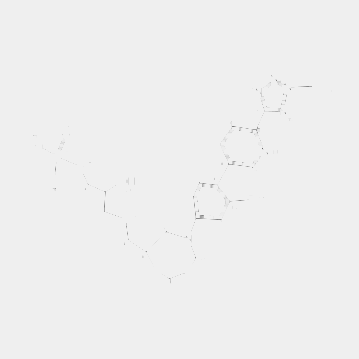 Cn1nnc(-c2ccc(-c3ccc(N4COCOC(COCC(O)COP(=O)(O)O)C4)cc3F)cn2)n1